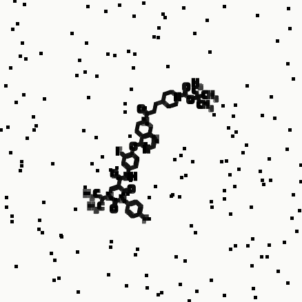 CC(C)n1cc(C(=O)Nc2ccc(Oc3ncnc4c3CCN(C(=O)CCC3CCN(C(=O)OC(C)(C)C)CC3)C4)c(F)c2)c(=O)n(-c2ccc(F)cc2)c1=O